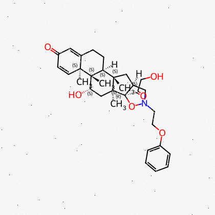 C[C@]12[C@@H](CCC3=CC(=O)C=C[C@@]31C)[C@]1(C)C[C@H]3CN(CCOc4ccccc4)O[C@@]3(C(=O)CO)[C@@]1(C)C[C@@H]2O